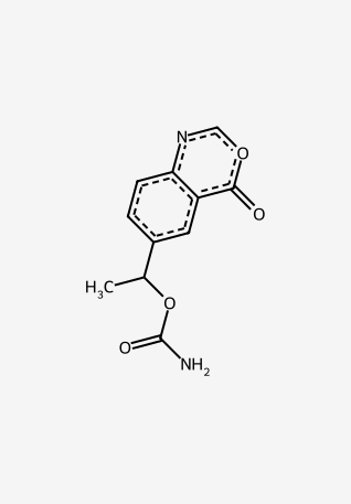 CC(OC(N)=O)c1ccc2ncoc(=O)c2c1